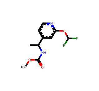 [CH2]C(NC(=O)OC(C)(C)C)c1ccnc(OC(F)F)c1